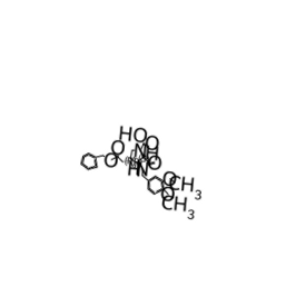 COc1ccc(CN2C(=O)[C@@H]3[C@H]2[C@H](CC(=O)OCc2ccccc2)CN3C(=O)O)cc1OC